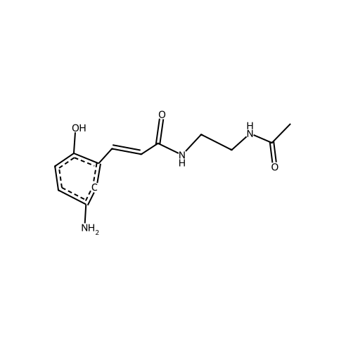 CC(=O)NCCNC(=O)/C=C/c1cc(N)ccc1O